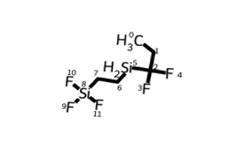 CCC(F)(F)[SiH2]CC[Si](F)(F)F